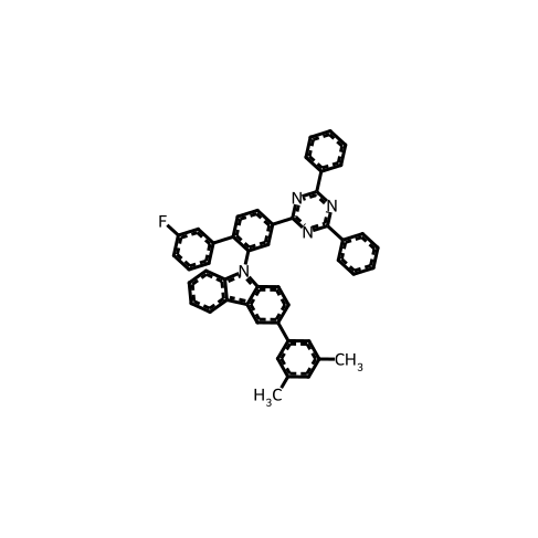 Cc1cc(C)cc(-c2ccc3c(c2)c2ccccc2n3-c2cc(-c3nc(-c4ccccc4)nc(-c4ccccc4)n3)ccc2-c2cccc(F)c2)c1